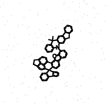 CC1(C)c2ccccc2N(c2cccc3c2oc2c4c(ccc23)C2(c3ccccc3-c3ccccc32)c2ccc3c5c(ccc-4c25)CC3)c2cc3c(cc21)-c1ccccc1C3